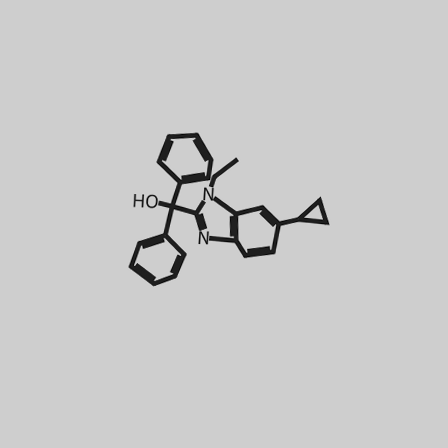 CCn1c(C(O)(c2ccccc2)c2ccccc2)nc2ccc(C3CC3)cc21